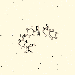 CN(C)c1ccnc(NC2CCC(NC(=O)C=Cc3ccccc3[N+](=O)[O-])CC2)n1